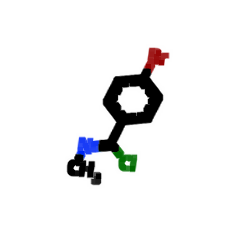 C/N=C(\Cl)c1ccc(Br)cc1